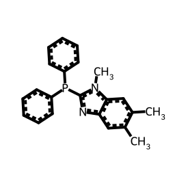 Cc1cc2nc(P(c3ccccc3)c3ccccc3)n(C)c2cc1C